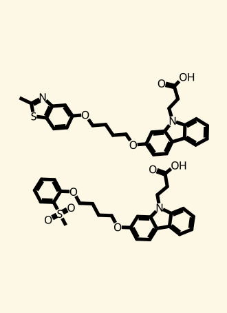 CS(=O)(=O)c1ccccc1OCCCCOc1ccc2c3ccccc3n(CCC(=O)O)c2c1.Cc1nc2cc(OCCCCOc3ccc4c5ccccc5n(CCC(=O)O)c4c3)ccc2s1